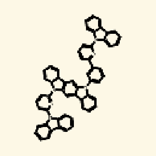 C1=CC2c3cc4c(cc3N(c3cccc(-n5c6ccccc6c6ccccc65)n3)C2C=C1)c1ccccc1n4-c1cccc(-c2cccc(-n3c4ccccc4c4ccccc43)n2)c1